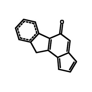 O=C1C=C2C=CC=C2C2=C1c1ccccc1C2